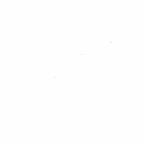 CC1(N2C(=O)CC(=O)Nc3ccccc32)CCN(C2Cc3cccc4cccc2c34)CC1